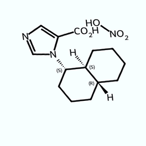 O=C(O)c1cncn1[C@H]1CCC[C@H]2CCCC[C@@H]21.O=[N+]([O-])O